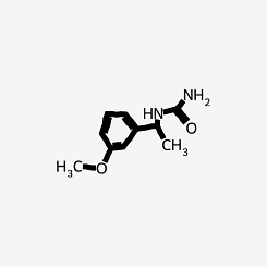 COc1cccc(C(C)NC(N)=O)c1